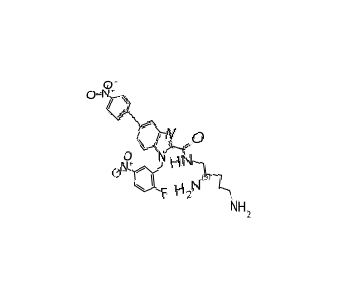 NCCC[C@H](N)CNC(=O)c1nc2cc(-c3ccc([N+](=O)[O-])cc3)ccc2n1Cc1cc([N+](=O)[O-])ccc1F